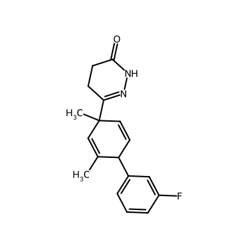 CC1=CC(C)(C2=NNC(=O)CC2)C=CC1c1cccc(F)c1